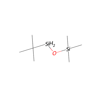 CC(C)(C)[SiH2]O[Si](C)(C)C